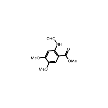 COC(=O)c1cc(OC)c(OC)cc1NC=O